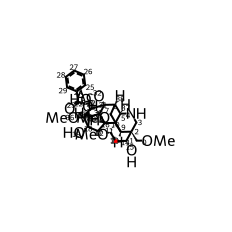 COC[C@]12CN[C@@H]3[C@@H]4[C@H](OC)[C@H]1[C@@]3([C@@H](OC)C[C@H]2O)[C@@H]1C[C@@]2(O)[C@H](OC(=O)c3ccccc3)[C@@H]1[C@]4(OC(C)=O)[C@@H](O)[C@@H]2OC